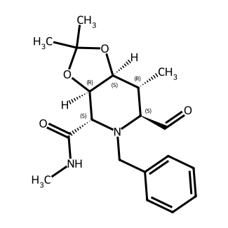 CNC(=O)[C@@H]1[C@H]2OC(C)(C)O[C@H]2[C@H](C)[C@@H](C=O)N1Cc1ccccc1